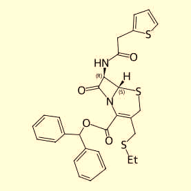 CCSCC1=C(C(=O)OC(c2ccccc2)c2ccccc2)N2C(=O)[C@@H](NC(=O)Cc3cccs3)[C@@H]2SC1